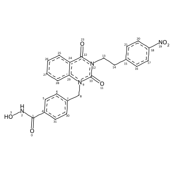 O=C(NO)c1ccc(Cn2c(=O)n(CCc3ccc([N+](=O)[O-])cc3)c(=O)c3ccccc32)cc1